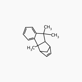 CC1(C)c2ccccc2C2(C)C3C=CC(C3)C12